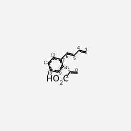 C=CC(=O)O.C=CC=Cc1ccccc1